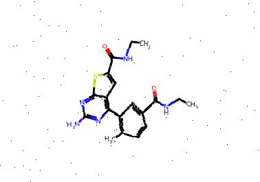 CCNC(=O)c1ccc(C)c(-c2nc(N)nc3sc(C(=O)NCC)cc23)c1